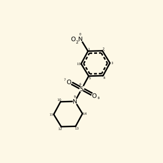 O=[N+]([O-])c1[c]ccc(S(=O)(=O)N2CCCCC2)c1